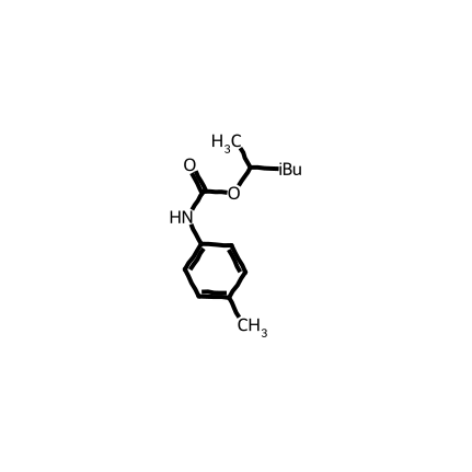 CCC(C)C(C)OC(=O)Nc1ccc(C)cc1